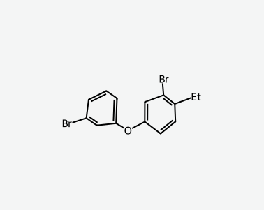 CCc1ccc(Oc2cccc(Br)c2)cc1Br